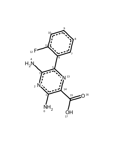 Nc1nc(N)c(-c2ccccc2F)nc1C(=O)O